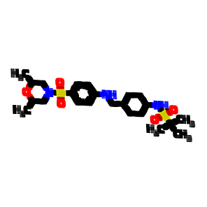 CC1CN(S(=O)(=O)c2ccc(NCC3CCC(NS(=O)(=O)C(C)(C)C)CC3)cc2)CC(C)O1